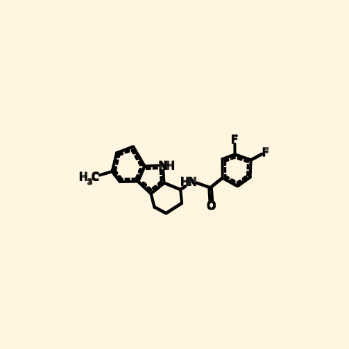 Cc1ccc2[nH]c3c(c2c1)CCCC3NC(=O)c1ccc(F)c(F)c1